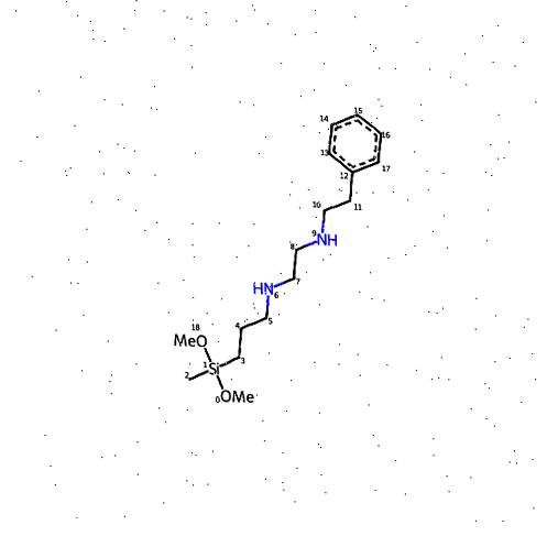 CO[Si](C)(CCCNCCNCCc1ccccc1)OC